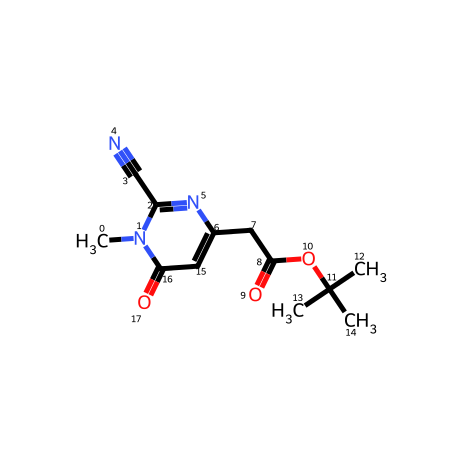 Cn1c(C#N)nc(CC(=O)OC(C)(C)C)cc1=O